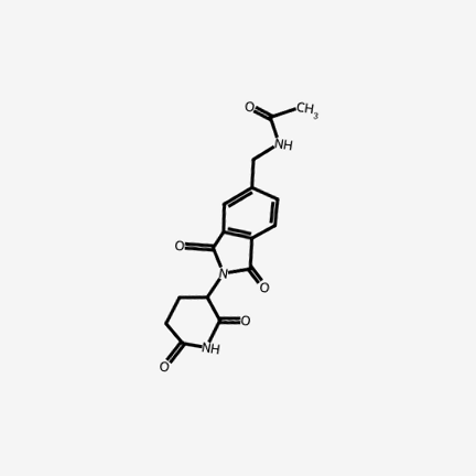 CC(=O)NCc1ccc2c(c1)C(=O)N(C1CCC(=O)NC1=O)C2=O